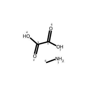 CN.O=C(O)C(=O)O